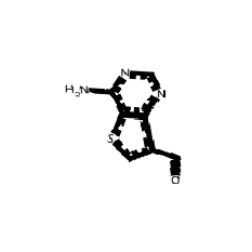 Nc1ncnc2c(C=O)csc12